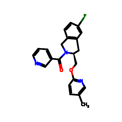 Cc1ccc(OC[C@@H]2Cc3cc(F)ccc3CN2C(=O)c2cccnc2)nc1